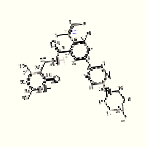 C/C=C(/C)c1c(C)cc(-c2ccc(N3CCN(C)CC3)nc2)cc1C(=O)NCc1c(C)cc(C)[nH]c1=O